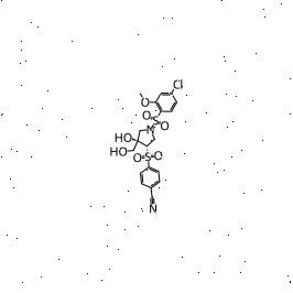 COc1cc(Cl)ccc1S(=O)(=O)N1C[C@H](S(=O)(=O)c2ccc(C#N)cc2)[C@](O)(CO)C1